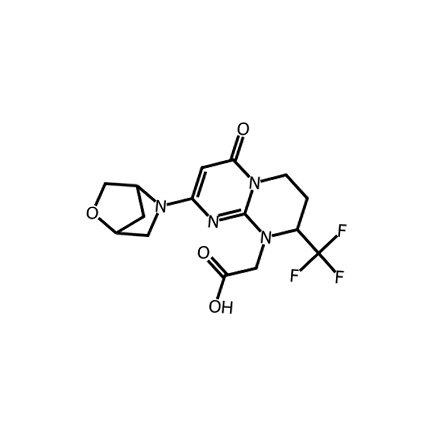 O=C(O)CN1c2nc(N3CC4CC3CO4)cc(=O)n2CCC1C(F)(F)F